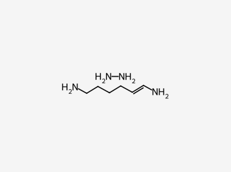 NC=CCCCCN.NN